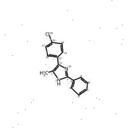 Cc1[nH]c(-c2ccccc2)nc1-c1ccc(Cl)cc1